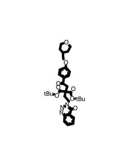 CC(C)(C)OC(=O)C(CCn1nnc2ccccc2c1=O)(CC(=O)c1ccc(OCC2CCOCC2)cc1)C(=O)OC(C)(C)C